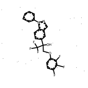 OC(COc1ccc(F)c(F)c1F)(c1ccc2c(cnn2-c2ccccc2)c1)C(F)(F)F